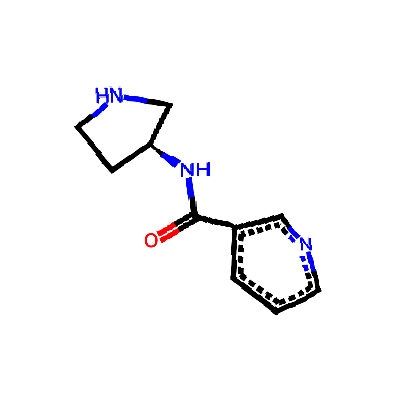 O=C(N[C@H]1CCNC1)c1cccnc1